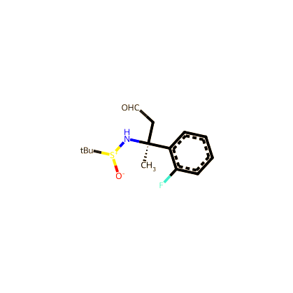 CC(C)(C)[S+]([O-])N[C@@](C)(CC=O)c1ccccc1F